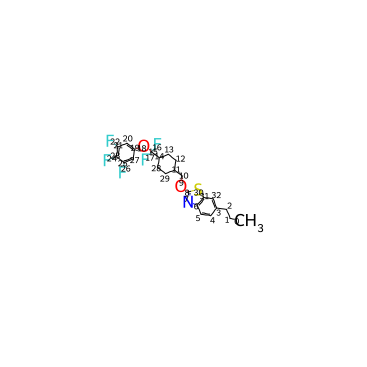 CCCc1ccc2nc(OCC3CCC(C(F)(F)Oc4cc(F)c(F)c(F)c4)CC3)sc2c1